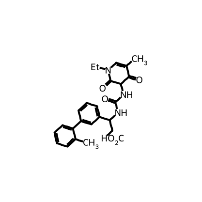 CCN1C=C(C)C(=O)C(NC(=O)NC(CC(=O)O)c2cccc(-c3ccccc3C)c2)C1=O